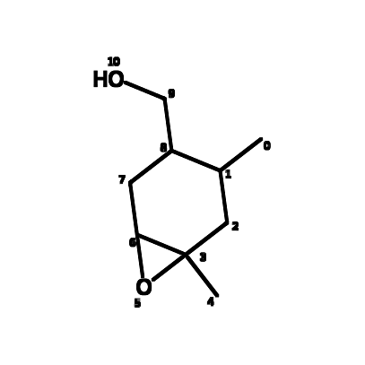 CC1CC2(C)OC2CC1CO